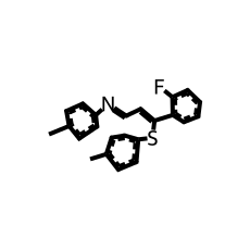 Cc1ccc(N=CC=C(Sc2ccc(C)cc2)c2ccccc2F)cc1